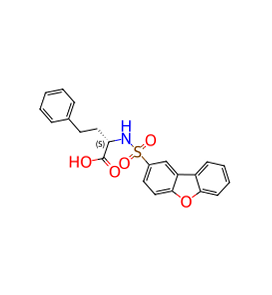 O=C(O)[C@H](CCc1ccccc1)NS(=O)(=O)c1ccc2oc3ccccc3c2c1